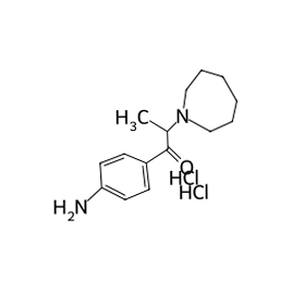 CC(C(=O)c1ccc(N)cc1)N1CCCCCC1.Cl.Cl